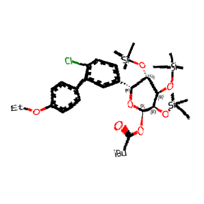 CCOc1ccc(-c2cc([C@H]3O[C@H](OC(=O)C(C)CC)[C@H](O[Si](C)(C)C)[C@H](O[Si](C)(C)C)[C@H]3O[Si](C)(C)C)ccc2Cl)cc1